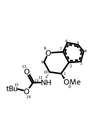 CO[C@@H]1c2ccccc2OC[C@H]1NC(=O)OC(C)(C)C